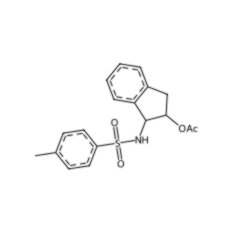 CC(=O)OC1Cc2ccccc2C1NS(=O)(=O)c1ccc(C)cc1